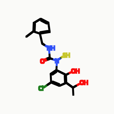 Cc1ccccc1CNC(=O)N(S)c1cc(Cl)cc(C(C)O)c1O